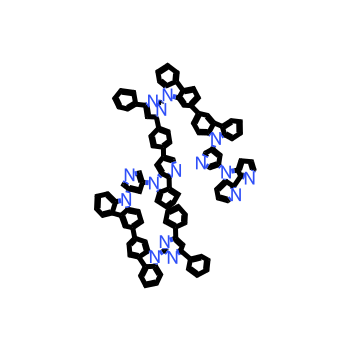 c1ccc(-c2cc(-c3ccccc3)nc(-n3c4ccccc4c4ccc(-c5ccc6c(c5)c5ccccc5n6-c5cncc(-n6c7ccccc7c7ncc(-c8ccc(-c9cc(-c%10ccccc%10)nc(-n%10c%11ccccc%11c%11ccc(-c%12ccc%13c(c%12)c%12ccccc%12n%13-c%12cncc(-n%13c%14cccnc%14c%14ncccc%14%13)c%12)cc%11%10)n9)cc8)cc76)c5)cc43)n2)cc1